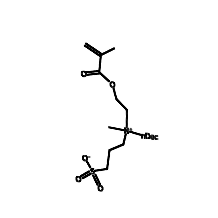 C=C(C)C(=O)OCC[N+](C)(CCCCCCCCCC)CCCS(=O)(=O)[O-]